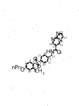 CCCOc1ccc(S(=O)(=O)c2ccc(CNC(=O)c3cnc4nccn4c3)cc2)c(C)c1